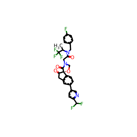 CC(N(Cc1ccc(F)cc1)C(=O)CN1CO[C@]2(C(=O)Cc3cc(-c4ccc(C(F)F)nc4)ccc32)C1=O)C(F)(F)F